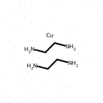 NCCN.NCCN.[Cu]